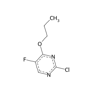 CCCOc1nc(Cl)ncc1F